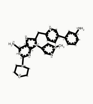 Cn1cc(-n2c(Cc3ccc(-c4cccc(N)c4)cn3)nc3c(N)nc(N4CCOCC4)nc32)cn1